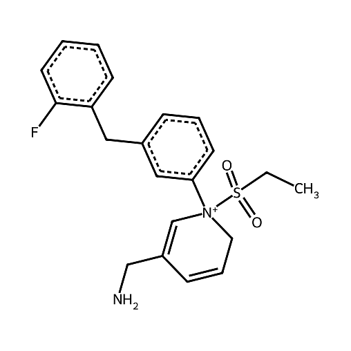 CCS(=O)(=O)[N+]1(c2cccc(Cc3ccccc3F)c2)C=C(CN)C=CC1